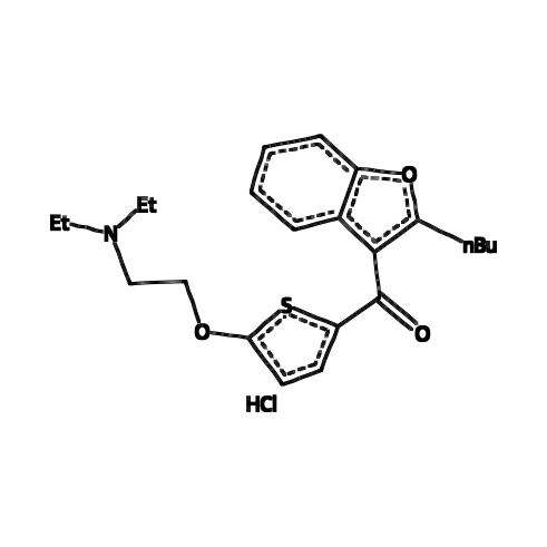 CCCCc1oc2ccccc2c1C(=O)c1ccc(OCCN(CC)CC)s1.Cl